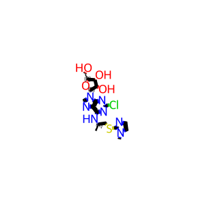 C[C@H](CSc1nccn1C)Nc1nc(Cl)nc2c1ncn2[C@@H]1O[C@H](CO)C(O)C1O